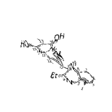 CCc1nc2ccccc2nc1-c1cc2nc(O)cc(O)n2n1